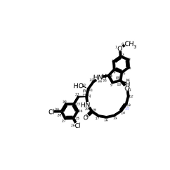 COc1ccc2c(c1)[C@@H]1C[C@H]2OC/C=C\CCCC(=O)N[C@@H](Cc2cc(Cl)cc(Cl)c2)[C@H](O)CN1